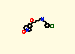 CN(CCCCC(=O)c1cc2c3c(c1)CCN3C(=O)CC2)CCc1cccc(Cl)c1